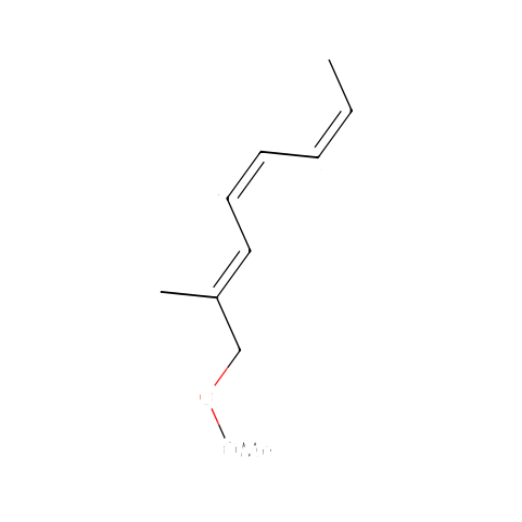 C\C=C/C=C\C=C(/C)COOC